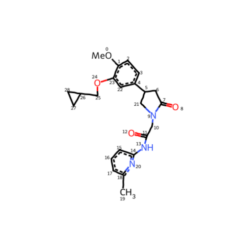 COc1ccc(C2CC(=O)N(CC(=O)Nc3cccc(C)n3)C2)cc1OCC1CC1